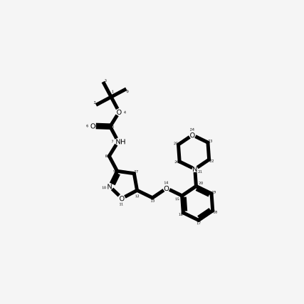 CC(C)(C)OC(=O)NCC1=NOC(COc2ccccc2N2CCOCC2)C1